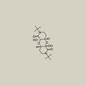 CC(C)(C)N1CC[C@@H]2O[C@]3(O)C(=O)N(C(C)(C)C)CC[C@@H]3O[C@@]2(O)C1=O